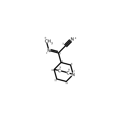 C/N=C(\C#N)C1CN2CCC1CC2